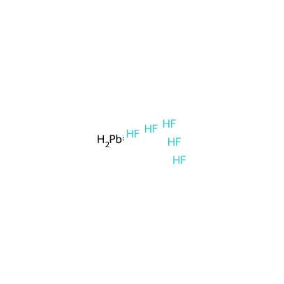 F.F.F.F.F.[PbH2]